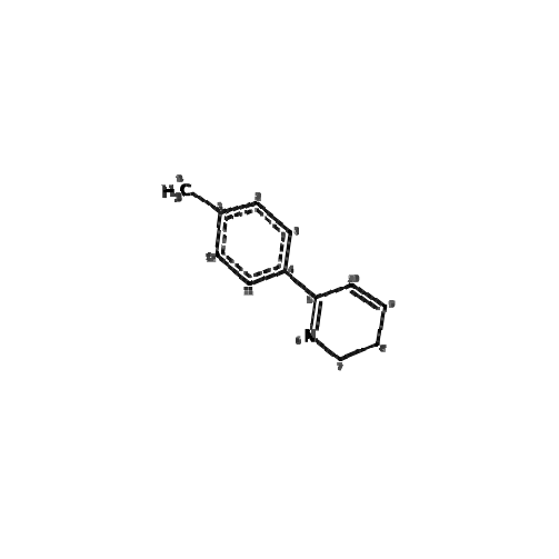 Cc1ccc(C2=NCCC=C2)cc1